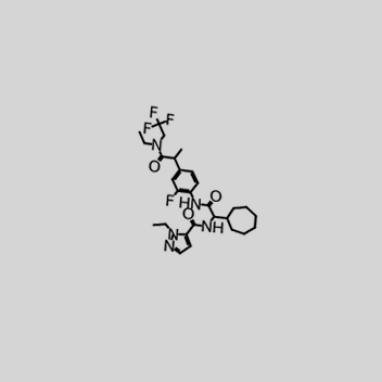 CCN(CC(F)(F)F)C(=O)C(C)c1ccc(NC(=O)C(NC(=O)c2ccnn2CC)C2CCCCCC2)c(F)c1